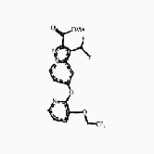 COC(=O)c1nn2ccc(Oc3ncccc3OCC(F)(F)F)cc2c1C(F)F